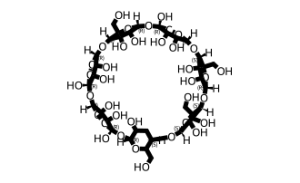 OCC1O[C@@H]2O[C@H]3CC(O)[C@H](OC3CO)O[C@]3(O)CO[C@H](O[C@]4(O)CO[C@H](O[C@@H]5C(CO)O[C@H](O[C@]6(O)CO[C@H](O[C@@H]7C(CO)O[C@H](O[C@H]1C(O)C2O)C(O)C7O)C(O)C6O)C(O)C5O)C(O)C4O)C(O)C3O